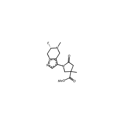 COC(=O)C1(C)CC(=O)N(c2cnn3c2CN(C)[C@@H](F)C3)C1